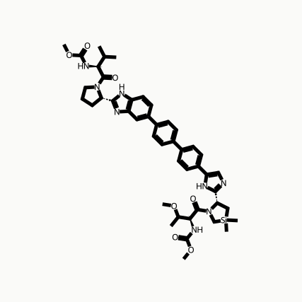 COC(=O)N[C@H](C(=O)N1CCC[C@H]1c1nc2cc(-c3ccc(-c4ccc(-c5cnc([C@@H]6C[Si](C)(C)CN6C(=O)[C@@H](NC(=O)OC)C(C)OC)[nH]5)cc4)cc3)ccc2[nH]1)C(C)C